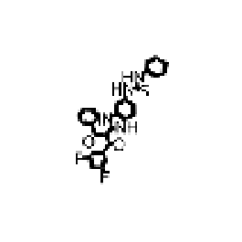 O=C(C(C(=O)c1cc(F)cc(F)c1)=C1Nc2ccc(NC(=S)Nc3ccccc3)cc2N1)c1ccccc1